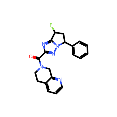 O=C(c1nc2n(n1)C(c1ccccc1)CC2F)N1CCc2cccnc2C1